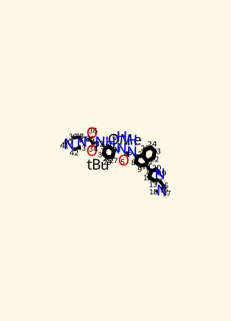 COc1c(NC(=O)Nc2ccc(-c3ccc(CN(C)C)nc3)c3ccccc23)cc(C(C)(C)C)cc1NC(=O)C(=O)N1CCN(C)CC1